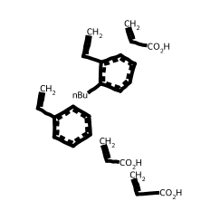 C=CC(=O)O.C=CC(=O)O.C=CC(=O)O.C=Cc1ccccc1.C=Cc1ccccc1CCCC